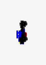 O=C(N/N=C/C=C/c1ccccc1)Nc1cccc2nsnc12